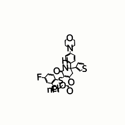 CCCOC(=O)OC1=C(Sc2ccc(F)cc2Cl)C(=O)NC(c2ccc(N3CCOCC3)cc2)(c2ccsc2)C1